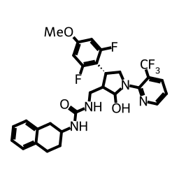 COc1cc(F)c([C@@H]2CN(c3ncccc3C(F)(F)F)C(O)C2CNC(=O)NC2CCc3ccccc3C2)c(F)c1